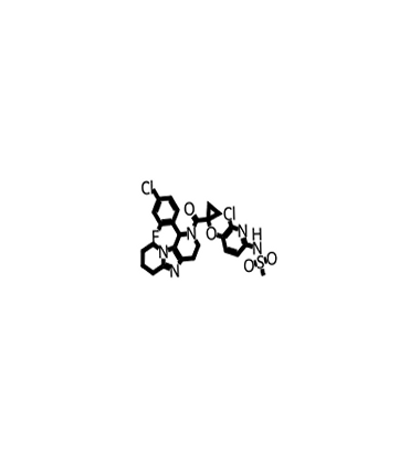 CS(=O)(=O)Nc1ccc(OC2(C(=O)N3CCc4nc5n(c4C3c3ccc(Cl)cc3F)CCCC5)CC2)c(Cl)n1